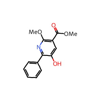 COC(=O)c1cc(O)c(-c2ccccc2)nc1OC